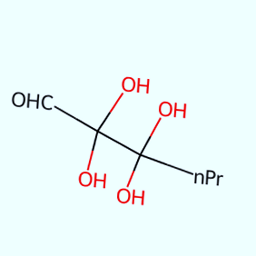 CCCC(O)(O)C(O)(O)C=O